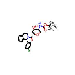 CC(C)(C)OC(=O)N[C@H]1CO[C@@H](C(=O)N2CCc3ccccc3[C@@H]2c2ccc(F)cc2)C[C@H]1O